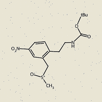 C[S+]([O-])Cc1cc([N+](=O)[O-])ccc1CCNC(=O)OC(C)(C)C